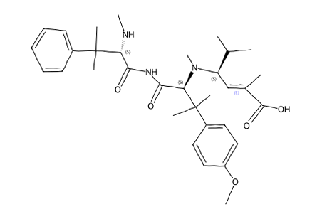 CN[C@H](C(=O)NC(=O)[C@@H](N(C)[C@H](/C=C(\C)C(=O)O)C(C)C)C(C)(C)c1ccc(OC)cc1)C(C)(C)c1ccccc1